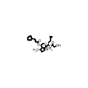 C[C@@H]1CC[C@@H]2C1[C@H](OC(=O)/C=C/c1ccccc1)CO[C@]2(C)[C@@H](CCC1CC1)OC(=O)CO